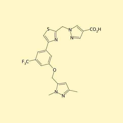 Cc1cc(COc2cc(-c3csc(Cn4cc(C(=O)O)cn4)n3)cc(C(F)(F)F)c2)n(C)n1